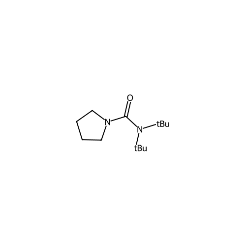 CC(C)(C)N(C(=O)N1CCCC1)C(C)(C)C